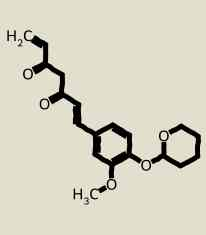 C=CC(=O)CC(=O)C=Cc1ccc(OC2CCCCO2)c(OC)c1